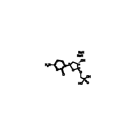 Nc1ccn([C@H]2C[C@H](O)[C@@H](OCP(=O)(O)O)O2)c(=O)n1.[NaH].[NaH]